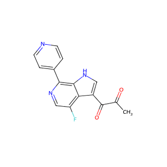 CC(=O)C(=O)c1c[nH]c2c(-c3ccncc3)ncc(F)c12